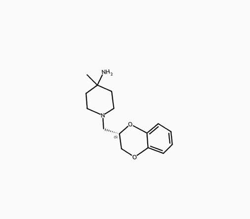 CC1(N)CCN(C[C@H]2COc3ccccc3O2)CC1